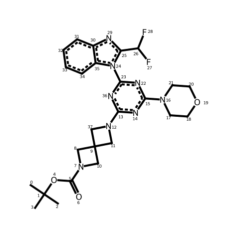 CC(C)(C)OC(=O)N1CC2(C1)CN(c1nc(N3CCOCC3)nc(-n3c(C(F)F)nc4ccccc43)n1)C2